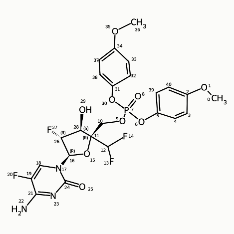 COc1ccc(OP(=O)(OC[C@@]2(C(F)F)O[C@@H](n3cc(F)c(N)nc3=O)[C@H](F)[C@H]2O)Oc2ccc(OC)cc2)cc1